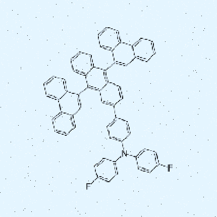 Fc1ccc(N(c2ccc(F)cc2)c2ccc(-c3ccc4c(-c5cc6ccccc6c6ccccc56)c5ccccc5c(-c5cc6ccccc6c6ccccc56)c4c3)cc2)cc1